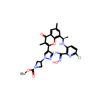 Cc1cc([C@@H](C)Nc2ccc(Cl)nc2/C(N)=N/O)c2oc(-c3cnn(C4CN(C(=O)OC(C)(C)C)C4)c3)c(C)c(=O)c2c1